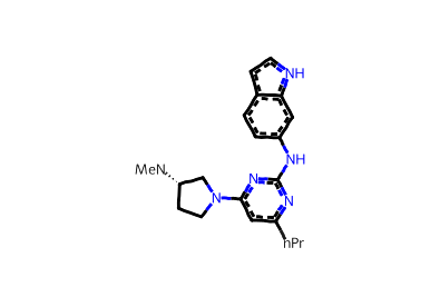 CCCc1cc(N2CC[C@H](NC)C2)nc(Nc2ccc3cc[nH]c3c2)n1